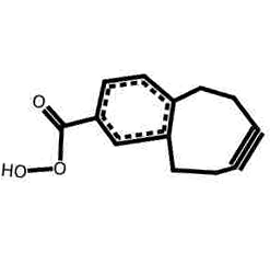 O=C(OO)c1ccc2c(c1)CCC#CCC2